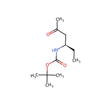 CC[C@H](CC(C)=O)NC(=O)OC(C)(C)C